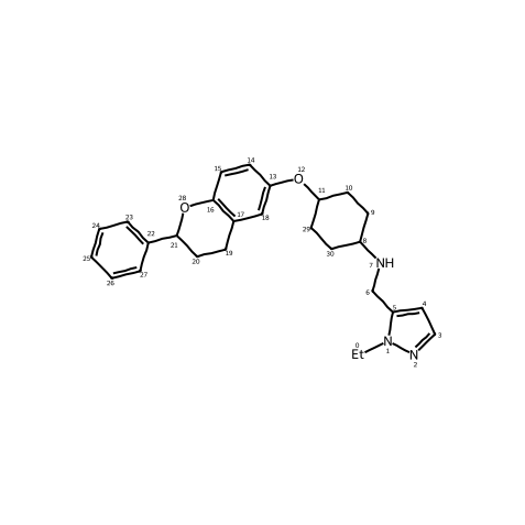 CCn1nccc1CNC1CCC(Oc2ccc3c(c2)CCC(c2ccccc2)O3)CC1